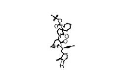 C=C1NCCC1CC(C#CC)NC(=O)C(CC1CC1)N1CCC2(CCCCN2C(=O)OC(C)(C)C)C1=O